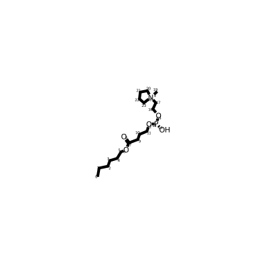 CCCCCCOC(=O)CCCOP(O)OCC[N+]1(C)CCCC1